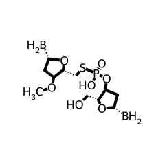 B[C@H]1CC(OC)[C@@H](CSP(=O)(O)OC2C[C@H](B)O[C@@H]2CO)O1